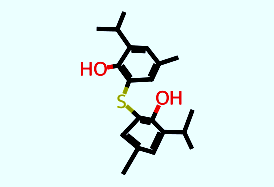 Cc1cc(Sc2cc(C)cc(C(C)C)c2O)c(O)c(C(C)C)c1